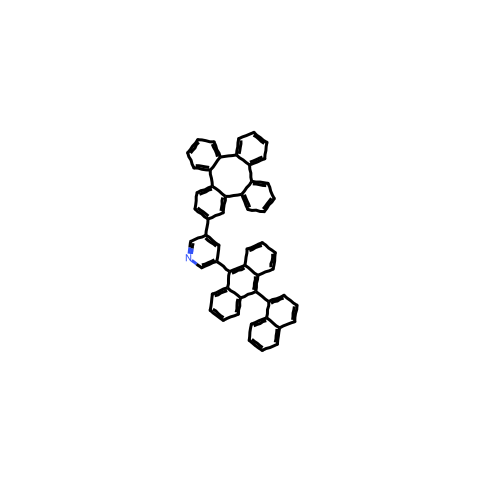 c1ccc2c(c1)-c1ccccc1-c1ccc(-c3cncc(-c4c5ccccc5c(-c5cccc6ccccc56)c5ccccc45)c3)cc1-c1ccccc1-2